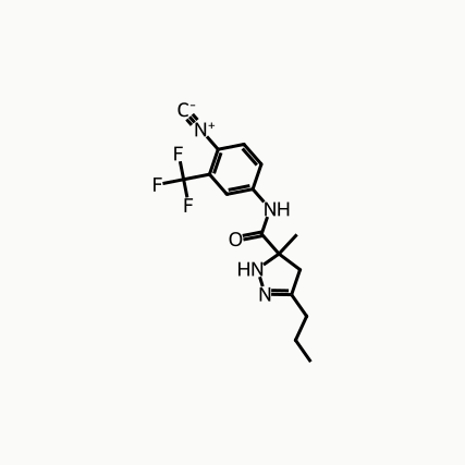 [C-]#[N+]c1ccc(NC(=O)C2(C)CC(CCC)=NN2)cc1C(F)(F)F